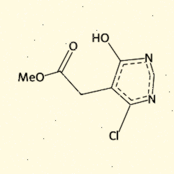 COC(=O)Cc1c(O)ncnc1Cl